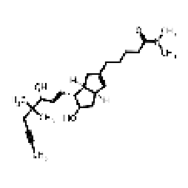 CC#CCC(C)(C)[C@H](O)/C=C/[C@@H]1[C@H]2CC(CCCCC(=O)N(C)C)=C[C@H]2C[C@H]1O